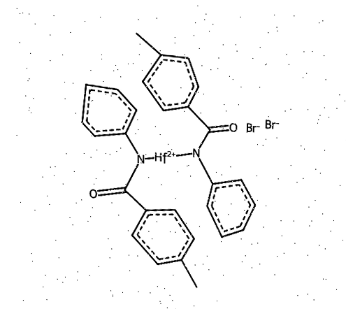 Cc1ccc(C(=O)[N]([Hf+2][N](C(=O)c2ccc(C)cc2)c2ccccc2)c2ccccc2)cc1.[Br-].[Br-]